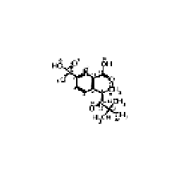 CC(c1ccc(S(=O)(=O)O)nc1C(=O)O)=[N+]([O-])C(C)(C)C